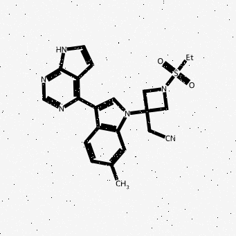 CCS(=O)(=O)N1CC(CC#N)(n2cc(-c3ncnc4[nH]ccc34)c3ccc(C)cc32)C1